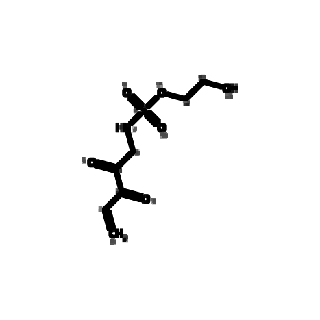 C=CC(=O)C(=O)CNS(=O)(=O)OCCO